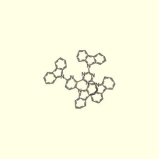 c1ccc2c(c1)c1ccccc1n2-c1ccc(-n2c3ccccc3c3ccccc32)c(-c2nc(-n3c4ccccc4c4ccccc43)nc(-n3c4ccccc4c4ccccc43)n2)n1